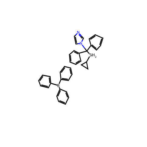 c1ccc(B(c2ccccc2)c2ccccc2)cc1.c1ccc(C([SiH2]C2CC2)(c2ccccc2)n2ccnc2)cc1